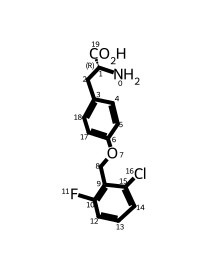 N[C@H](Cc1ccc(OCc2c(F)cccc2Cl)cc1)C(=O)O